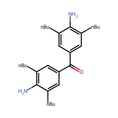 CCCCc1cc(C(=O)c2cc(CCCC)c(N)c(CCCC)c2)cc(CCCC)c1N